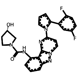 O=C(Nc1cccc2nn3ccc(-n4cccc4-c4cc(F)ccc4F)nc3c12)N1CC[C@H](O)C1